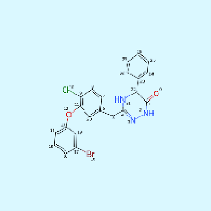 O=C1NN=C(Cc2ccc(Cl)c(Oc3cccc(Br)c3)c2)NC1c1ccccc1